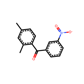 Cc1ccc(C(=O)c2cccc([N+](=O)[O-])c2)c(C)c1